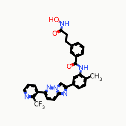 Cc1ccc(-c2cn3nc(-c4cccnc4C(F)(F)F)ccc3n2)cc1NC(=O)c1cccc(CCC(=O)NO)c1